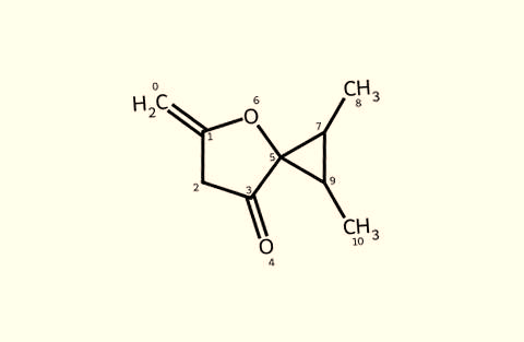 C=C1CC(=O)C2(O1)C(C)C2C